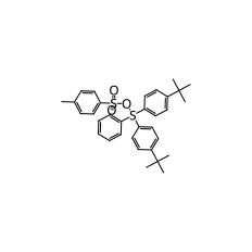 Cc1ccc(S(=O)(=O)OS(c2ccccc2)(c2ccc(C(C)(C)C)cc2)c2ccc(C(C)(C)C)cc2)cc1